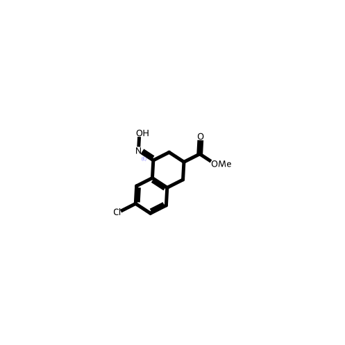 COC(=O)C1C/C(=N\O)c2cc(Cl)ccc2C1